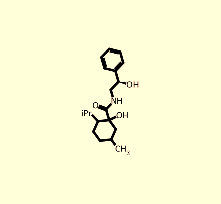 CC1CCC(C(C)C)C(O)(C(=O)NC[C@H](O)c2ccccc2)C1